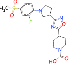 CS(=O)(=O)c1ccc(N2CCC(c3noc(C4CCN(C(=O)O)CC4)n3)C2)c(F)c1